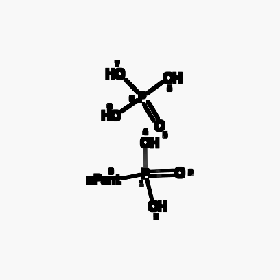 CCCCCP(=O)(O)O.O=P(O)(O)O